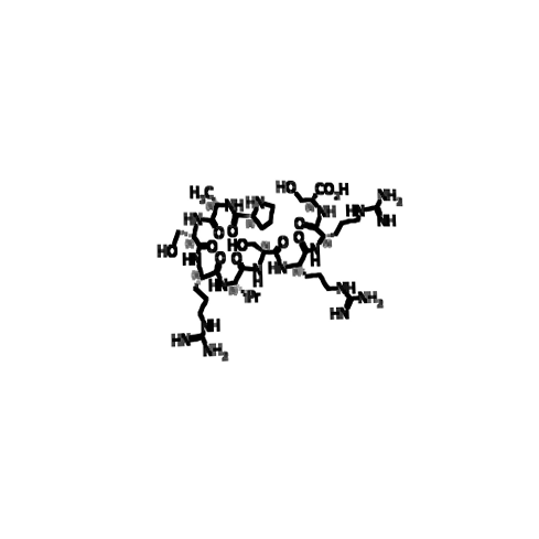 CC(C)[C@H](NC(=O)[C@H](CCCNC(=N)N)NC(=O)[C@H](CO)NC(=O)[C@H](C)NC(=O)[C@@H]1CCCN1)C(=O)N[C@@H](CO)C(=O)N[C@@H](CCCNC(=N)N)C(=O)N[C@@H](CCCNC(=N)N)C(=O)N[C@@H](CO)C(=O)O